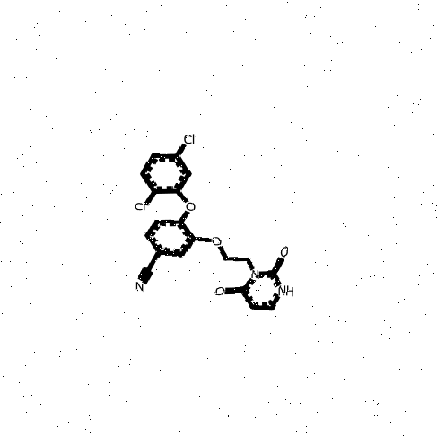 N#Cc1ccc(Oc2cc(Cl)ccc2Cl)c(OCCn2c(=O)cc[nH]c2=O)c1